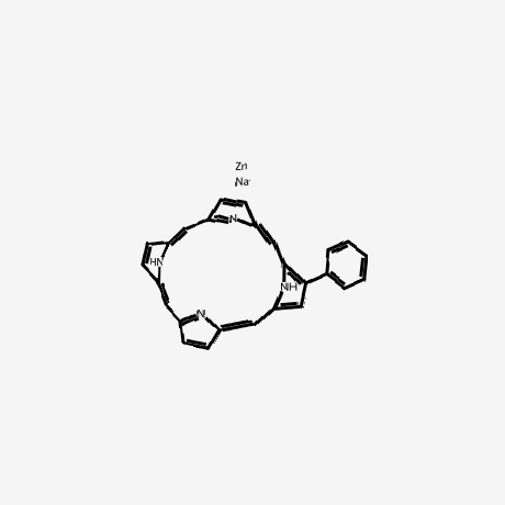 C1=Cc2cc3cc(-c4ccccc4)c(cc4nc(cc5ccc(cc1n2)[nH]5)C=C4)[nH]3.[Na].[Zn]